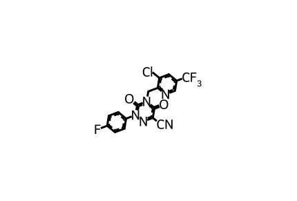 N#Cc1nn(-c2ccc(F)cc2)c(=O)n(Cc2ncc(C(F)(F)F)cc2Cl)c1=O